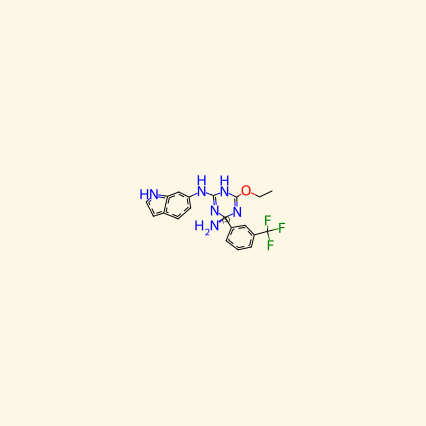 CCOC1=N[C@](N)(c2cccc(C(F)(F)F)c2)N=C(Nc2ccc3cc[nH]c3c2)N1